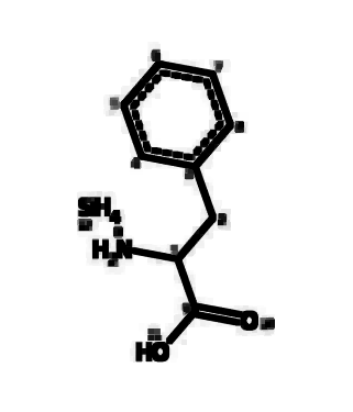 NC(Cc1ccccc1)C(=O)O.[SiH4]